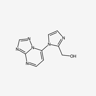 OCc1nccn1-c1ccnc2ncnn12